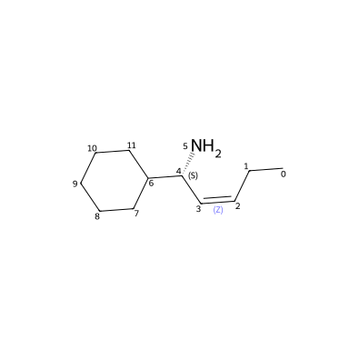 CC/C=C\[C@@H](N)C1CCCCC1